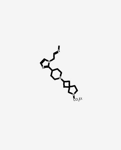 CCOC(=O)N1CCC2(CC(N3CCC(c4nccn4C/C=N/C)CC3)C2)C1